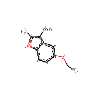 CCOC(=O)c1c(C)oc2ccc(OCC(F)(F)F)cc12